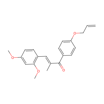 C=CCOc1ccc(C(=O)C(C)=Cc2ccc(OC)cc2OC)cc1